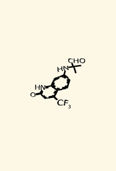 CC(C)(C=O)Nc1ccc2c(C(F)(F)F)cc(=O)[nH]c2c1